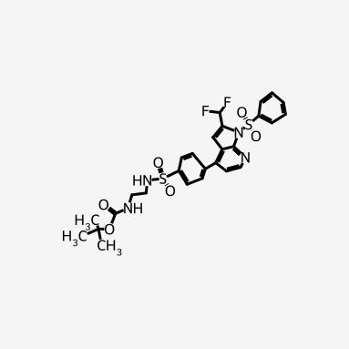 CC(C)(C)OC(=O)NCCNS(=O)(=O)c1ccc(-c2ccnc3c2cc(C(F)F)n3S(=O)(=O)c2ccccc2)cc1